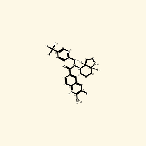 Cc1cc2cc(C(=O)N(Cc3ccc(C(F)(F)F)cn3)[C@@H]3CCC[C@H]4OCC[C@@H]34)ccc2nc1N